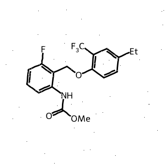 CCc1ccc(OCc2c(F)cccc2NC(=O)OC)c(C(F)(F)F)c1